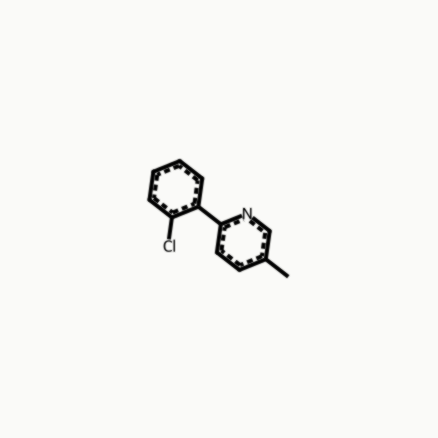 Cc1ccc(-c2ccccc2Cl)nc1